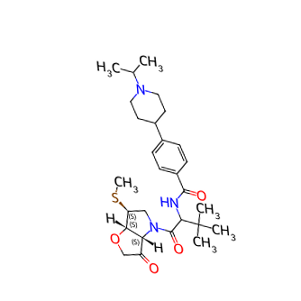 CS[C@H]1CN(C(=O)C(NC(=O)c2ccc(C3CCN(C(C)C)CC3)cc2)C(C)(C)C)[C@@H]2C(=O)CO[C@H]12